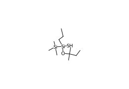 CCC[Si](S)(OC(C)(C)CC)[Si](C)(C)C